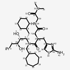 CC(C)C[C@H](O)[C@H](O)[C@H](CC1CCCCC1)N(CC1CCCCCC1)C(=O)[C@@H](CC(=O)NCC(=O)N(C)C)Cc1csc(N)n1